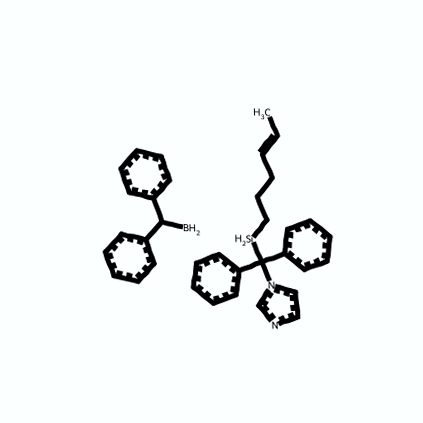 BC(c1ccccc1)c1ccccc1.CC=CCCC[SiH2]C(c1ccccc1)(c1ccccc1)n1ccnc1